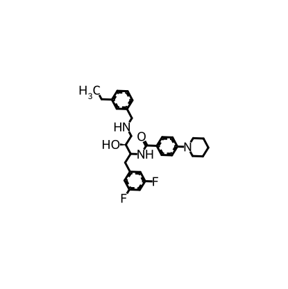 CCc1cccc(CNC[C@H](O)C(Cc2cc(F)cc(F)c2)NC(=O)c2ccc(N3CCCCC3)cc2)c1